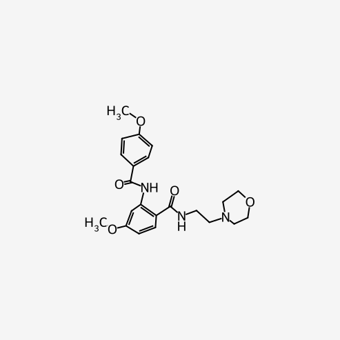 COc1ccc(C(=O)Nc2cc(OC)ccc2C(=O)NCCN2CCOCC2)cc1